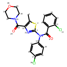 Cc1sc(N(C(=O)c2ccccc2Cl)c2ccc(Cl)cc2)nc1C(=O)N1CCOCC1